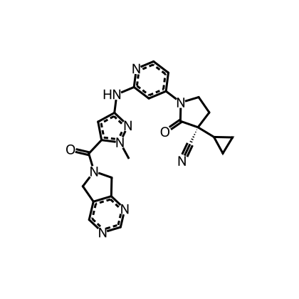 Cn1nc(Nc2cc(N3CC[C@@](C#N)(C4CC4)C3=O)ccn2)cc1C(=O)N1Cc2cncnc2C1